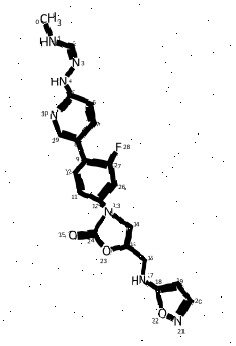 CN/C=N\Nc1ccc(-c2ccc(N3CC(CNc4ccno4)OC3=O)cc2F)cn1